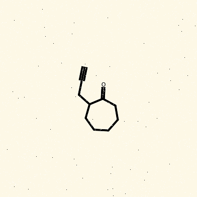 C#CCC1CCCCCC1=O